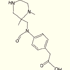 CN1CCNCC1(C)CN(C=O)c1ccc(CC(=O)O)cc1